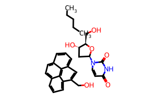 CCCCC.O=c1ccn([C@H]2C[C@H](O)[C@@H](CO)O2)c(=O)[nH]1.OCc1cc2cccc3ccc4cccc1c4c32